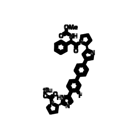 COC(=O)N[C@@H](C(=O)N1CCC[C@H]1C1=NC=C(c2ccc(-c3ccc(-c4cnc([C@@H]5CCCN5C(=O)OC(C)(C)C)[nH]4)c(F)c3)cc2)C1)c1ccccc1